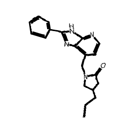 CCCC1CC(=O)N(Cc2ccnc3[nH]c(-c4ccccc4)nc23)C1